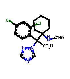 O=CNC1(C(C(=O)O)(c2ccc(Cl)cc2Cl)n2cncn2)CCCCC1